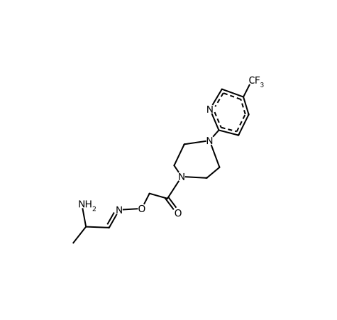 CC(N)/C=N/OCC(=O)N1CCN(c2ccc(C(F)(F)F)cn2)CC1